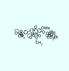 C=CCOC(=O)N1c2cc(OC[C@@H](CC(=O)OCC)O[Si](C)(C)C(C)(C)C)c(OC)cc2C(=O)N2CC=C(c3ccc(S(=O)(=O)N(C)C4CCCCO4)cc3)C[C@H]2C1OC1CCCCO1